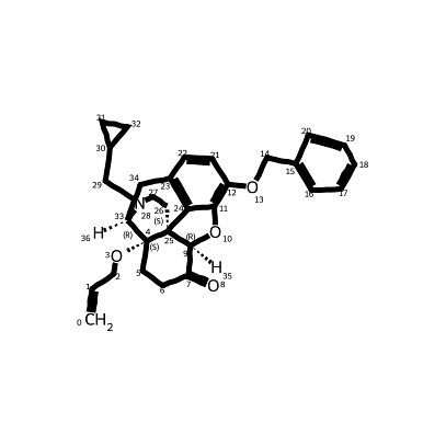 C=CCO[C@@]12CCC(=O)[C@@H]3Oc4c(OCc5ccccc5)ccc5c4[C@@]31CCN(CC1CC1)[C@@H]2C5